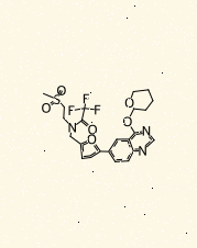 CS(=O)(=O)CCN(Cc1ccc(-c2ccc3ncnc(OC4CCCCO4)c3c2)o1)C(=O)C(F)(F)F